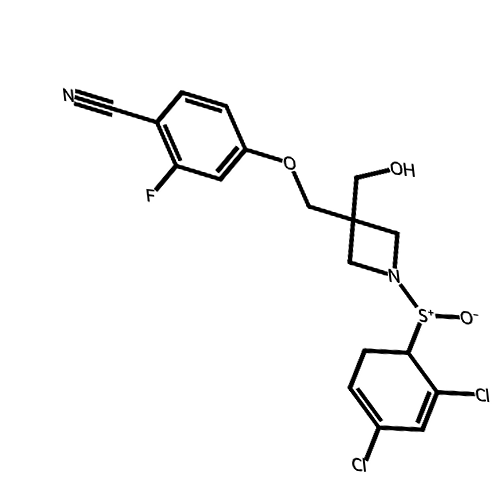 N#Cc1ccc(OCC2(CO)CN([S+]([O-])C3CC=C(Cl)C=C3Cl)C2)cc1F